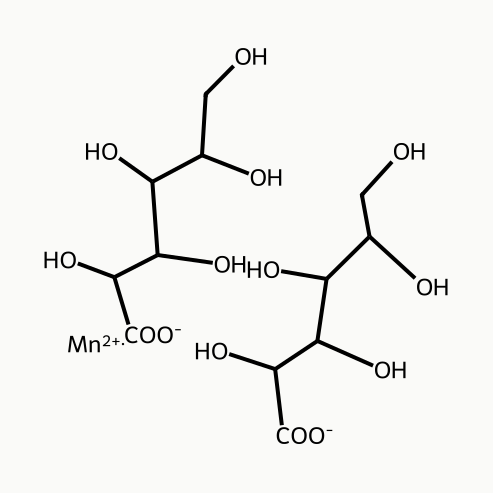 O=C([O-])C(O)C(O)C(O)C(O)CO.O=C([O-])C(O)C(O)C(O)C(O)CO.[Mn+2]